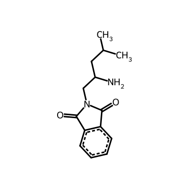 CC(C)CC(N)CN1C(=O)c2ccccc2C1=O